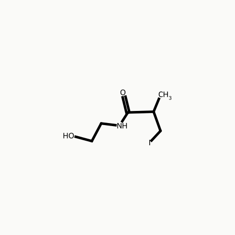 CC(CI)C(=O)NCCO